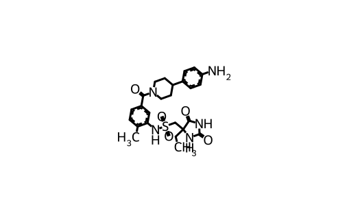 CCC1(CS(=O)(=O)Nc2cc(C(=O)N3CCC(c4ccc(N)cc4)CC3)ccc2C)NC(=O)NC1=O